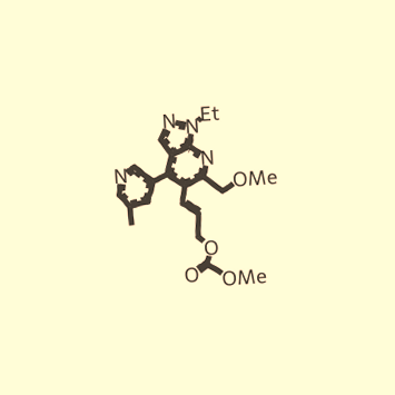 CCn1ncc2c(-c3cncc(C)c3)c(C=CCOC(=O)OC)c(COC)nc21